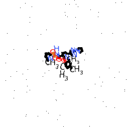 Cc1cc(C)c(Oc2nc(-c3cnc(N4CCCC4)nc3)ccc2C(=O)NS(=O)(=O)c2cccc(C)n2)c(C)c1